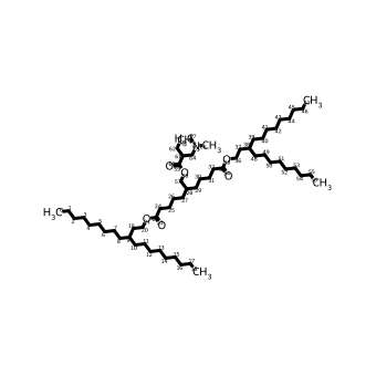 CCCCCCCCCC(CCCCCCCCC)CCOC(=O)CCCCC(CCCCC(=O)OCCC(CCCCCCCCC)CCCCCCCCC)COC(=O)C(CC)CN(C)C